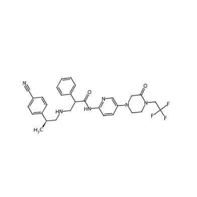 C[C@H](CNCC(C(=O)Nc1ccc(N2CCN(CC(F)(F)F)C(=O)C2)cn1)c1ccccc1)c1ccc(C#N)cc1